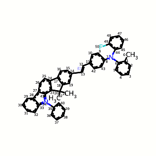 Cc1ccccc1N(c1ccc(/C=C/c2ccc3c(c2)C(C)(C)c2c-3ccc3c4ccccc4n(-c4ccccc4)c23)cc1)c1ccccc1F